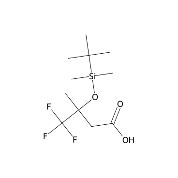 CC(CC(=O)O)(O[Si](C)(C)C(C)(C)C)C(F)(F)F